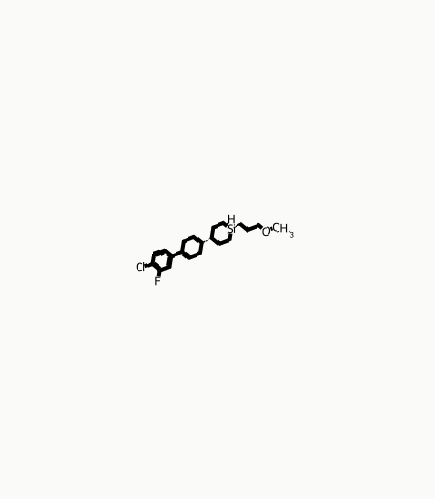 COCCC[Si@H]1CC[C@H](C2CCC(c3ccc(Cl)c(F)c3)CC2)CC1